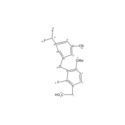 COc1ccc(CC(=O)O)c(F)c1Oc1cc(C#N)cc(C(F)F)c1